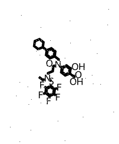 CCN(CCC(=O)N(Cc1ccc(C2CCCCC2)cc1)c1ccc(C(=O)O)c(O)c1)Sc1c(F)c(F)c(F)c(F)c1F